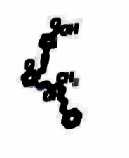 C[C@@H](CCCCc1ccccc1)[C@H](O)/C=C/[C@H]1CCC(=O)N1CC#Cc1ccc(C(=O)O)s1